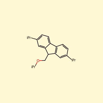 CC(C)OCC1c2cc(C(C)C)ccc2-c2ccc(C(C)C)cc21